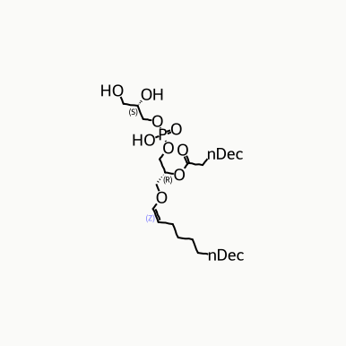 CCCCCCCCCCCCCC/C=C\OC[C@H](COP(=O)(O)OC[C@@H](O)CO)OC(=O)CCCCCCCCCCC